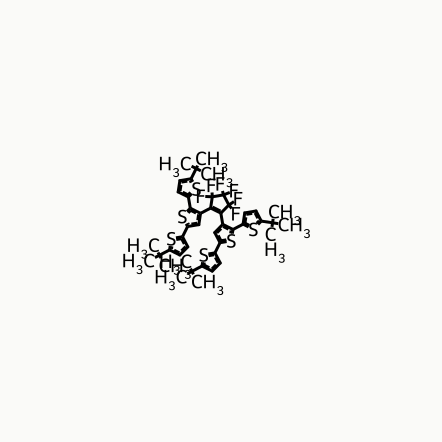 CC(C)(C)c1ccc(-c2cc(C3=C(c4cc(-c5ccc(C(C)(C)C)s5)sc4-c4ccc(C(C)(C)C)s4)C(F)(F)C(F)(F)C3(F)F)c(-c3ccc(C(C)(C)C)s3)s2)s1